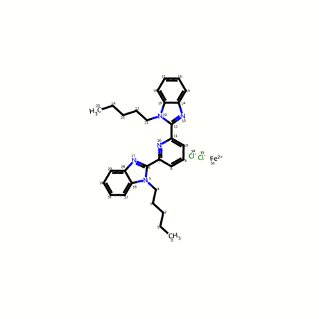 CCCCCn1c(-c2cccc(-c3nc4ccccc4n3CCCCC)n2)nc2ccccc21.[Cl-].[Cl-].[Fe+2]